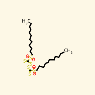 CCCCCCCCCCCCS(=O)(=O)C(=S)SSC(=S)S(=O)(=O)CCCCCCCCCCCC